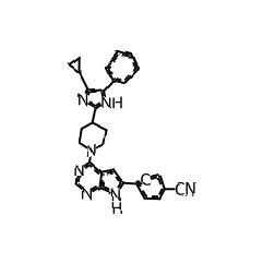 N#Cc1ccc(-c2cc3c(N4CCC(c5nc(C6CC6)c(-c6ccccc6)[nH]5)CC4)ncnc3[nH]2)cc1